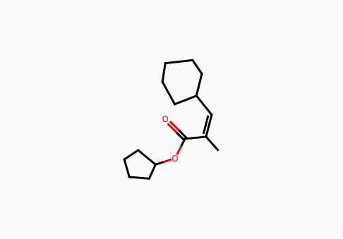 CC(=CC1CCCCC1)C(=O)OC1CCCC1